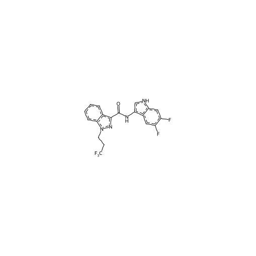 O=C(Nc1c[nH]c2cc(F)c(F)cc12)c1nn(CCC(F)(F)F)c2ccccc12